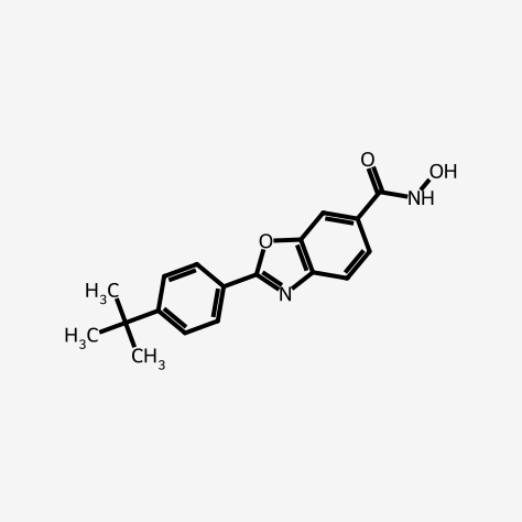 CC(C)(C)c1ccc(-c2nc3ccc(C(=O)NO)cc3o2)cc1